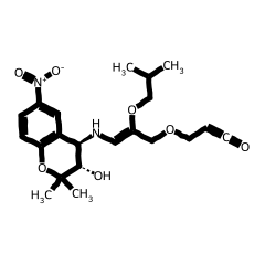 CC(C)COC(=CN[C@@H]1c2cc([N+](=O)[O-])ccc2OC(C)(C)[C@H]1O)COCC=C=O